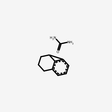 NC(N)=O.c1cc2c3c(c1)C3CCC2